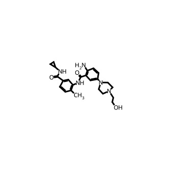 Cc1ccc(C(=O)NC2CC2)cc1NC(=O)c1cc(N2CCN(CCO)CC2)ccc1N